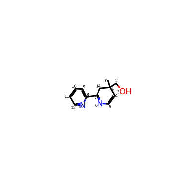 CC1(CO)C=CN=C(c2ccccn2)C1